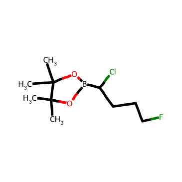 CC1(C)OB(C(Cl)CCCF)OC1(C)C